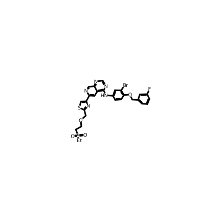 CCS(=O)(=O)CCOCc1nc(-c2cc3c(Nc4ccc(OCc5cccc(F)c5)c(Br)c4)ncnc3cn2)cs1